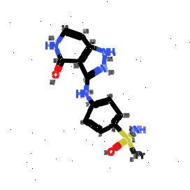 CC(C)S(=N)(=O)c1ccc(Nc2n[nH]c3cc[nH]c(=O)c23)cc1